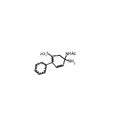 CC(=O)NC1(N)C=CC(c2ccccc2)=C(S(=O)(=O)O)C1